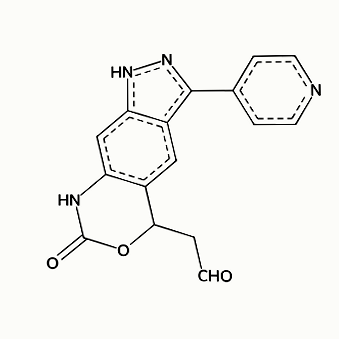 O=CCC1OC(=O)Nc2cc3[nH]nc(-c4ccncc4)c3cc21